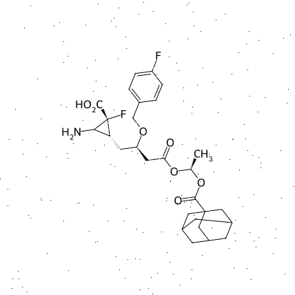 C[C@H](OC(=O)C[C@@H](C[C@@H]1C(N)[C@@]1(F)C(=O)O)OCc1ccc(F)cc1)OC(=O)C12CC3CC(CC(C3)C1)C2